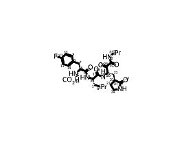 CC(C)C[C@H](NC(=O)[C@H](Cc1ccc(F)cc1)NC(=O)O)C(=O)N[C@@H](C[C@@H]1CCNC1=O)C(=O)C(=O)NC(C)C